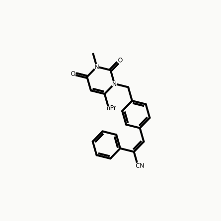 CCCc1cc(=O)n(C)c(=O)n1Cc1ccc(C=C(C#N)c2ccccc2)cc1